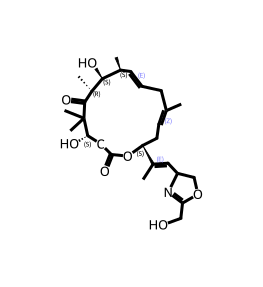 C/C1=C/C[C@@H](/C(C)=C/C2COC(CO)=N2)OC(=O)C[C@H](O)C(C)(C)C(=O)[C@H](C)[C@@H](O)[C@@H](C)/C=C/C1